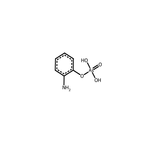 Nc1ccccc1O[As](=O)(O)O